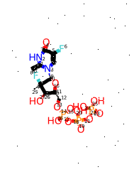 C=C1NC(=O)C(F)=CN1[C@@H]1O[C@H](COP(=O)(O)OP(=O)(O)OP(=O)(O)O)[C@@H](O)[C@@]1(C)F